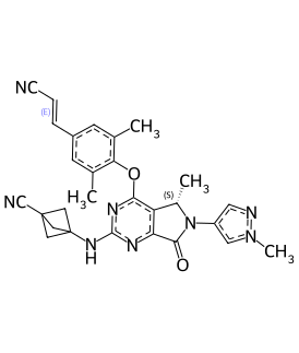 Cc1cc(/C=C/C#N)cc(C)c1Oc1nc(NC23CC(C#N)(C2)C3)nc2c1[C@H](C)N(c1cnn(C)c1)C2=O